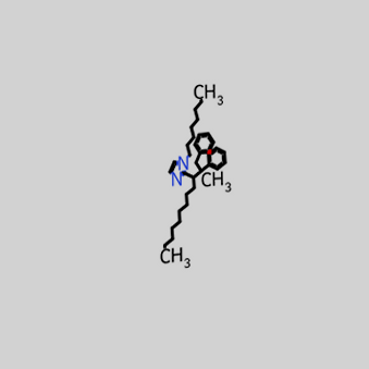 CCCCCCCCCC(c1nccn1CCCCCCCC)C(C)(Cc1ccccc1)c1ccccc1